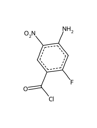 Nc1cc(F)c(C(=O)Cl)cc1[N+](=O)[O-]